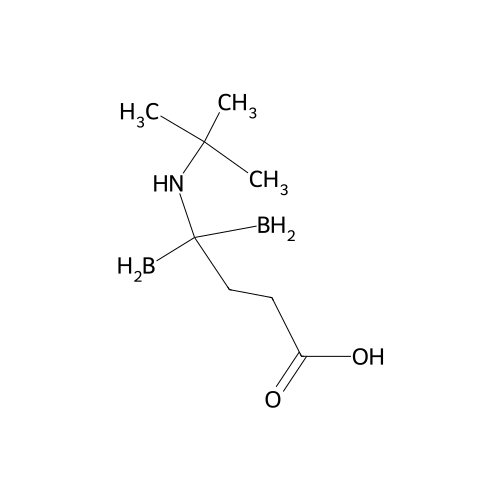 BC(B)(CCC(=O)O)NC(C)(C)C